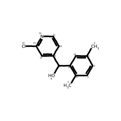 Cc1ccc(C)c(C(O)c2ccnc(Cl)c2)c1